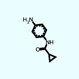 Nc1ccc(NC(=O)C2CC2)cc1